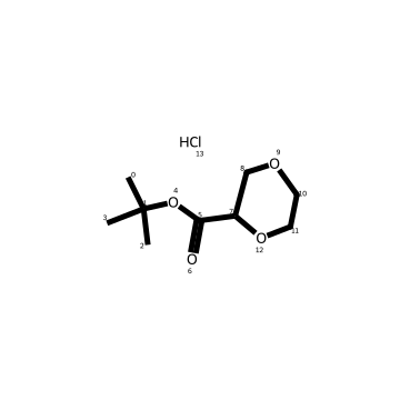 CC(C)(C)OC(=O)C1COCCO1.Cl